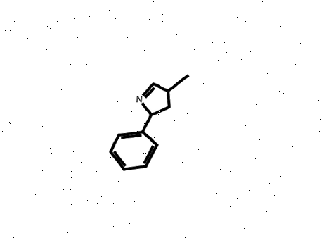 CC1C=NC(c2ccccc2)C1